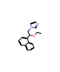 CCOC(Cn1ccnc1)c1cccc2ccccc12